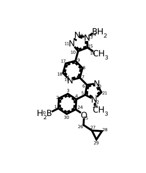 Bc1ccc(-c2c(-c3cc(-c4nnn(B)c4C)ccn3)ncn2C)c(OCC2CC2)c1